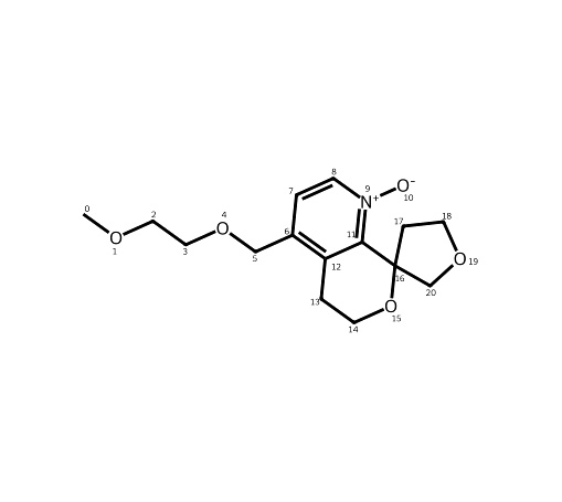 COCCOCc1cc[n+]([O-])c2c1CCOC21CCOC1